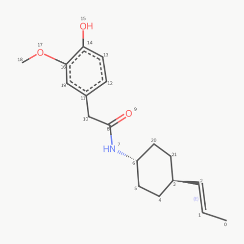 C/C=C/[C@H]1CC[C@H](NC(=O)Cc2ccc(O)c(OC)c2)CC1